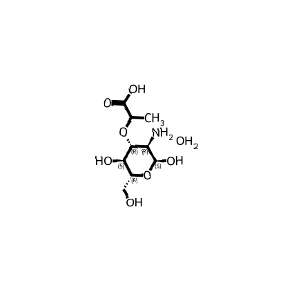 CC(O[C@@H]1[C@@H](N)[C@@H](O)O[C@H](CO)[C@H]1O)C(=O)O.O